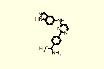 CC(N)c1ccc(-c2nccc(Nc3ccc4[nH]ncc4c3)n2)cc1